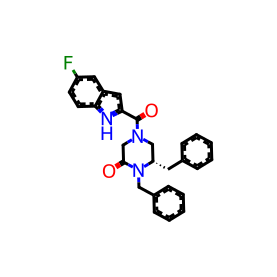 O=C(c1cc2cc(F)ccc2[nH]1)N1CC(=O)N(Cc2ccccc2)[C@@H](Cc2ccccc2)C1